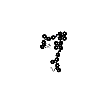 CC1(C)c2ccccc2-c2ccc(-n3c4ccccc4c4cc(-c5ccc(/C=C/c6cccc(C7(c8cccc(-c9ccc%10c(c9)C(c9ccccc9)(c9ccccc9)c9cc(/C=C/c%11ccc(-c%12ccc%13c(c%12)c%12ccccc%12n%13-c%12ccc%13c(c%12)C(C)(C)c%12ccccc%12-%13)cc%11)ccc9-%10)c8)c8ccccc8-c8ccccc87)c6)cc5)ccc43)cc21